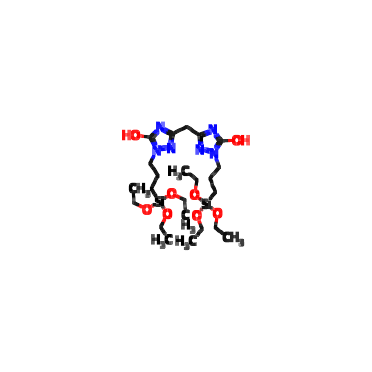 CCO[Si](CCCn1nc(Cc2nc(O)n(CCC[Si](OCC)(OCC)OCC)n2)nc1O)(OCC)OCC